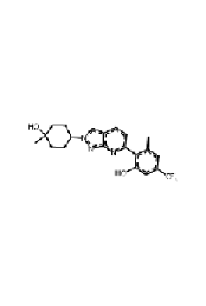 Cc1cc(C(F)(F)F)cc(O)c1-c1ccc2cn(C3CCC(C)(O)CC3)nc2n1